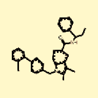 CCC(NC(=O)c1ccc2c(c1)c(C)c(C)n2Cc1ccc(-c2ccccc2C)cc1)c1ccccc1